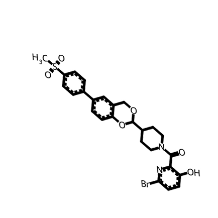 CS(=O)(=O)c1ccc(-c2ccc3c(c2)COC(C2CCN(C(=O)c4nc(Br)ccc4O)CC2)O3)cc1